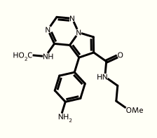 COCCNC(=O)c1cn2ncnc(NC(=O)O)c2c1-c1ccc(N)cc1